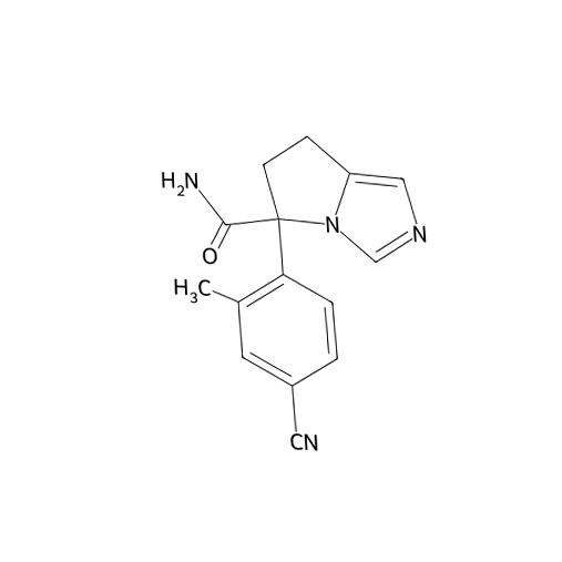 Cc1cc(C#N)ccc1C1(C(N)=O)CCc2cncn21